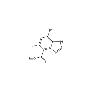 COC(=O)c1c(I)cc(Br)c2[nH]cnc12